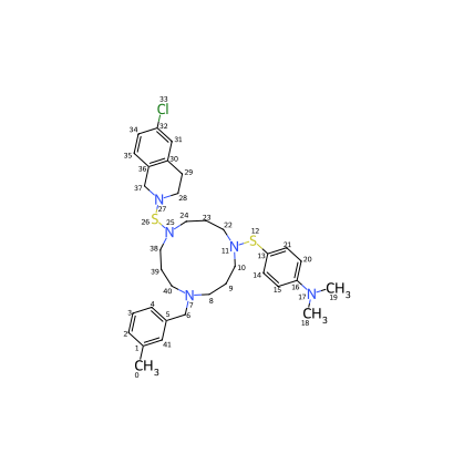 Cc1cccc(CN2CCCN(Sc3ccc(N(C)C)cc3)CCCN(SN3CCc4cc(Cl)ccc4C3)CCC2)c1